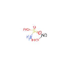 NS(=O)(=O)O.O=NO